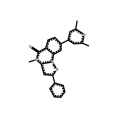 Cc1cc(-c2ccc3c(=O)n(C)c4cc(-c5ccccc5)nn4c3c2)cc(C)n1